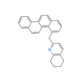 c1ccc2c(c1)ccc1c2ccc2cccc(Cc3ccc4c(n3)CCCC4)c21